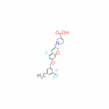 Cc1cc(COc2cc(F)c3c(c2)OCC(CN2CCC=C(C(=O)O)C2)=C3)cc(C(F)(F)F)c1